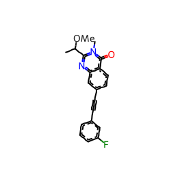 COC(C)c1nc2cc(C#Cc3cccc(F)c3)ccc2c(=O)n1C